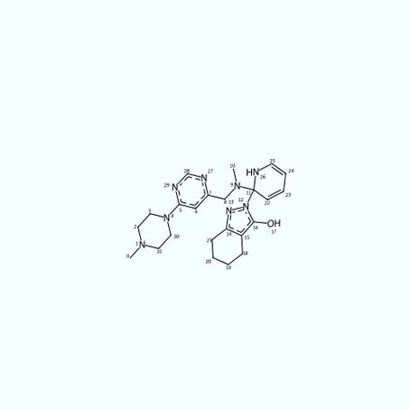 CN1CCN(c2cc(CN(C)C3(n4nc5c(c4O)CCCC5)C=CC=CN3)ncn2)CC1